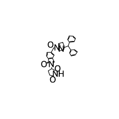 O=C1CCC(N2Cc3cc(C(=O)N4CC5CCC4CN5C(c4ccccc4)c4ccccc4)ccc3C2=O)C(=O)N1